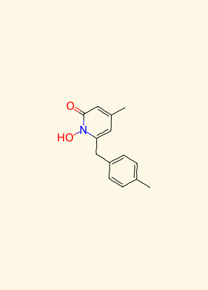 Cc1ccc(Cc2cc(C)cc(=O)n2O)cc1